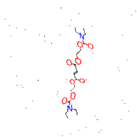 CCN(CC)C(=O)OCCOC(=O)/C=C/C(=O)OCCOC(=O)N(CC)CC